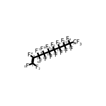 FC(F)=C(F)C(F)(F)C(F)(F)C(F)(F)C(F)(F)C(F)(F)C(F)(F)C(F)(F)C(F)(F)F